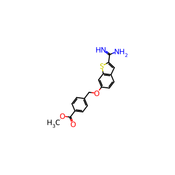 COC(=O)c1ccc(COc2ccc3cc(C(=N)N)sc3c2)cc1